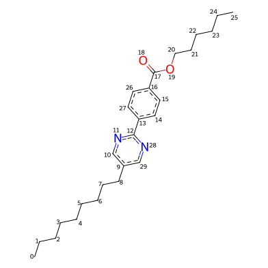 CCCCCCCCCc1cnc(-c2ccc(C(=O)OCCCCCC)cc2)nc1